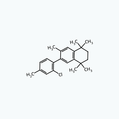 [CH2]c1ccc(-c2cc3c(cc2C)C(C)(C)CCC3(C)C)c(Cl)c1